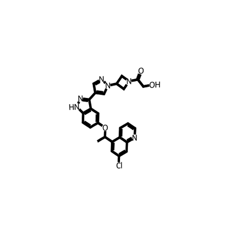 CC(Oc1ccc2[nH]nc(-c3cnn(C4CN(C(=O)CO)C4)c3)c2c1)c1cc(Cl)cc2ncccc12